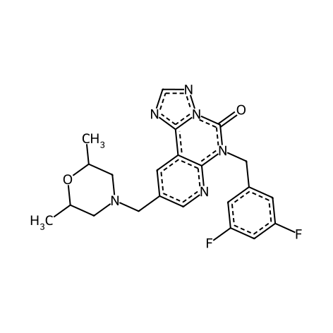 CC1CN(Cc2cnc3c(c2)c2ncnn2c(=O)n3Cc2cc(F)cc(F)c2)CC(C)O1